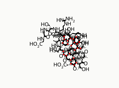 C[C@H](NC(=O)[C@H](CO)NC(=O)CNC(=O)[C@@H]1CCCN1C(=O)[C@H](Cc1c[nH]cn1)NC(=O)[C@H](CCCNC(=N)N)NC(=O)[C@H](C)NC(=O)[C@H](CS)NC(=O)[C@H](Cc1ccccc1)NC(=O)[C@H](Cc1ccc(O)cc1)NC(=O)[C@@H](NC(=O)[C@H](C)NC(=O)[C@@H](NC(=O)[C@H](CC(=O)O)NC(=O)[C@H](CCC(=O)O)NC(=O)[C@@H](NC(=O)[C@@H](NC(=O)[C@@H]1CCCN1C(=O)[C@@H](N)CO)[C@@H](C)O)[C@@H](C)O)[C@@H](C)O)[C@@H](C)O)C(=O)NCC(=O)O